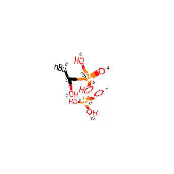 CCCCC(O)P(=O)(O)O.O=[PH](O)O